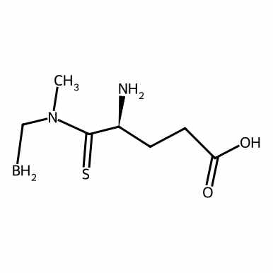 BCN(C)C(=S)[C@@H](N)CCC(=O)O